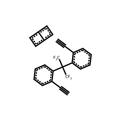 C#Cc1ccccc1C(c1ccccc1C#C)(C(F)(F)F)C(F)(F)F.c1cc2ccc1-2